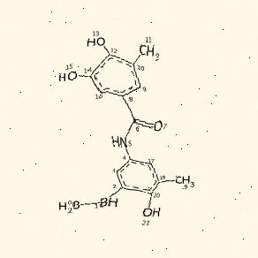 BBc1cc(NC(=O)c2cc(C)c(O)c(O)c2)cc(C)c1O